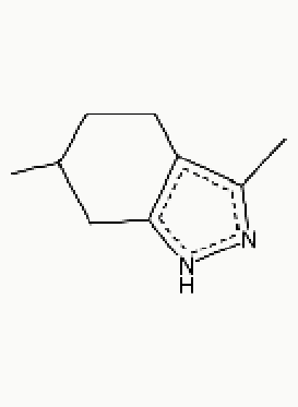 Cc1n[nH]c2c1CCC(C)C2